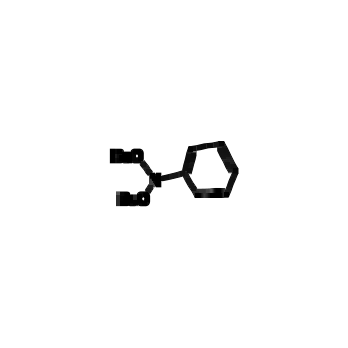 CC(C)CON(OCC(C)C)c1ccccc1